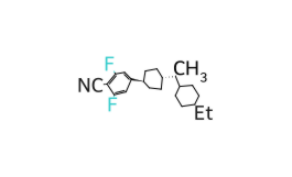 CCC1CCC(C(C)[C@H]2CC[C@H](c3cc(F)c(C#N)c(F)c3)CC2)CC1